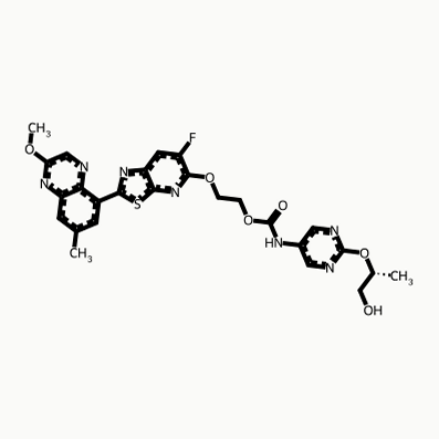 COc1cnc2c(-c3nc4cc(F)c(OCCOC(=O)Nc5cnc(O[C@H](C)CO)nc5)nc4s3)cc(C)cc2n1